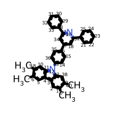 Cc1cc2c3cc(C)c(C)cc3n(-c3ccc(-c4cc(-c5ccccc5)nc(-c5ccccc5)c4)cc3)c2cc1C